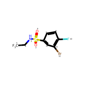 O=S(=O)(NCC(F)(F)F)c1ccc(F)c(Br)c1